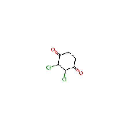 O=C1CCC(=O)C(Cl)C1Cl